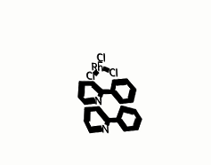 [Cl][Rh]([Cl])[Cl].c1ccc(-c2ccccn2)cc1.c1ccc(-c2ccccn2)cc1